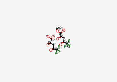 O=C([O-])C(=O)CC(=O)C(F)(F)F.O=C([O-])C(=O)CC(=O)C(F)(F)F.[Ni+2]